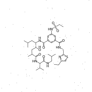 CCc1csc(CNC(=O)c2cc(NS(=O)(=O)CC)cc(C(=O)NC(CC(C)C)C(O)CC(C)C(=O)NC(C(=O)NCC(C)C)C(C)C)c2)n1